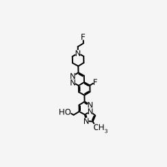 Cc1cn2nc(-c3cc(F)c4cc(C5CCN(CCF)CC5)nnc4c3)cc(CO)c2n1